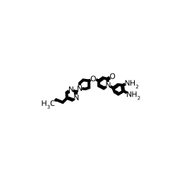 CCCc1cnc(N2CCC(Oc3ccn(-c4ccc(N)c(N)c4)c(=O)c3)CC2)nc1